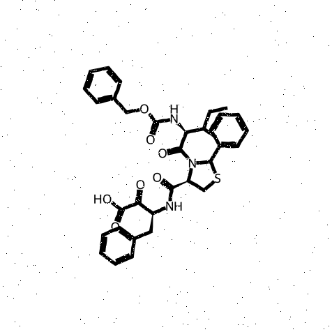 CCC(C)[C@H](NC(=O)OCc1ccccc1)C(=O)N1C(c2ccccc2)SC[C@H]1C(=O)N[C@@H](Cc1ccccc1)C(=O)C(=O)O